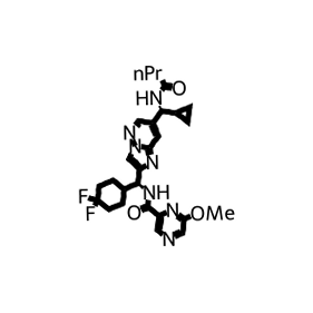 CCCC(=O)N[C@@H](c1cnn2cc([C@@H](NC(=O)c3cncc(OC)n3)C3CCC(F)(F)CC3)nc2c1)C1CC1